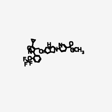 COC(=O)c1ccc(N2CC3C[C@H](OCc4c(-c5ccccc5OC(F)(F)F)noc4C4CC4)C[C@H]3C2)nc1